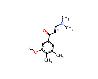 COc1cc(C(=O)/C=C/N(C)C)cc(C)c1C